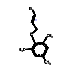 CC/C=C/COc1c(C)cc(C)cc1C